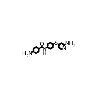 Nc1ccc(C(=O)Nc2ccc(Sc3ccnc(N)c3)cc2)cc1